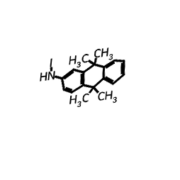 CC1(C)c2ccccc2C(C)(C)c2cc(NI)ccc21